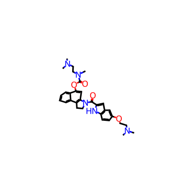 CN(C)CCOc1ccc2[nH]c(C(=O)N3CCc4c3cc(OC(=O)N(C)CCN(C)C)c3ccccc43)cc2c1